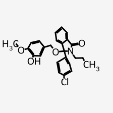 CCCN1C(=O)c2ccccc2C1(OCc1ccc(OC)c(O)c1)c1ccc(Cl)cc1